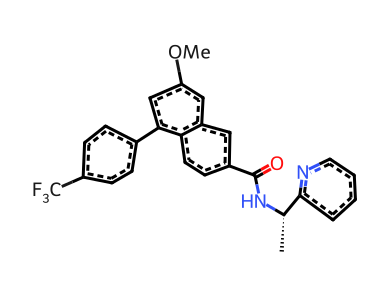 COc1cc(-c2ccc(C(F)(F)F)cc2)c2ccc(C(=O)N[C@@H](C)c3ccccn3)cc2c1